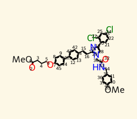 COC(=O)CCCOc1ccc(-c2ccc(/C=C/c3nc(-c4ccc(Cl)cc4Cl)cn3CC(=O)NCc3ccc(OC)cc3)cc2)cc1